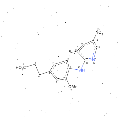 COc1cc(CCC(=O)O)ccc1Nc1ncc([N+](=O)[O-])cc1C